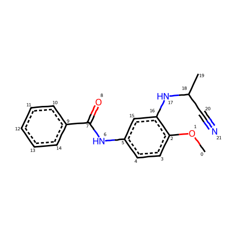 COc1ccc(NC(=O)c2ccccc2)cc1NC(C)C#N